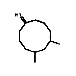 CC1CCCC(=N)CCCC(C)C1